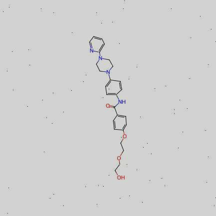 O=C(Nc1ccc(N2CCN(c3ccccn3)CC2)cc1)c1ccc(OCCOCCO)cc1